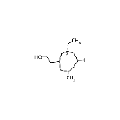 CC[C@@H]1CC(I)CC(C)CC(CCO)C1